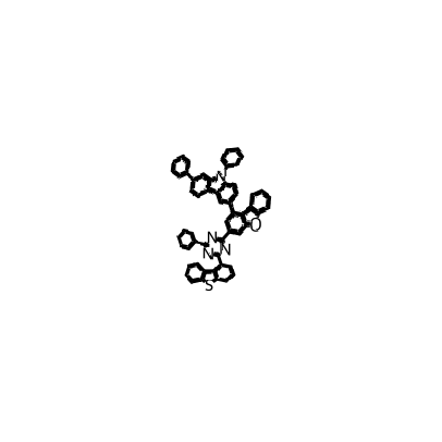 c1ccc(-c2ccc3c4cc(-c5cc(-c6nc(-c7ccccc7)nc(-c7cccc8sc9ccccc9c78)n6)cc6oc7ccccc7c56)ccc4n(-c4ccccc4)c3c2)cc1